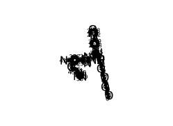 COCCOCCOCCOCCOc1nn([C@H]2CC[C@H](N3CCOCC3)CC2)cc1Nc1ncc(-c2ccc(C#N)c(O[C@@H](C)Cn3cncn3)c2)cn1